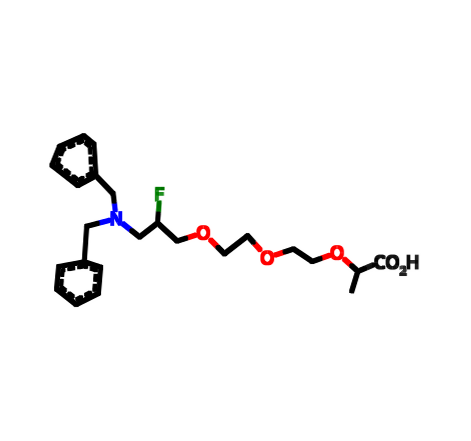 CC(OCCOCCOCC(F)CN(Cc1ccccc1)Cc1ccccc1)C(=O)O